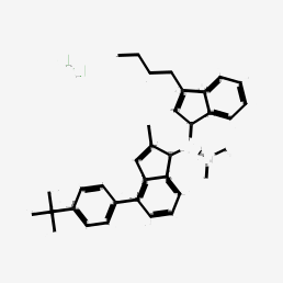 CCCCC1=C[CH]([Zr+2]([CH]2C(C)=Cc3c(-c4ccc(C(C)(C)C)cc4)cccc32)=[Si](C)C)c2ccccc21.[Cl-].[Cl-]